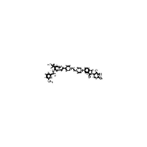 CC(C)(O)c1cc2nc(C3CCN(CCN4CCN(c5ccc6c(c5)C(=O)N(C5CCC(=O)NC5=O)C6)CC4)CC3)cn2cc1NC(=O)c1cccc(C(F)(F)F)n1